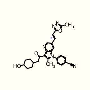 Cc1nnc(/C=C/c2cnc3c(C(=O)CC4CCC(O)CC4)c(C)n(-c4ccc(C#N)cc4)c3c2)o1